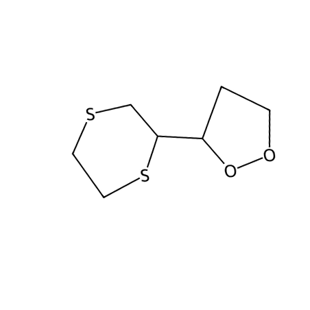 C1CC(C2CSCCS2)OO1